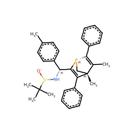 CC1=C(c2ccccc2)[P@]2C[C@@]1(C)C(c1ccccc1)=C2[C@H](N[S+]([O-])C(C)(C)C)c1ccc(C)cc1